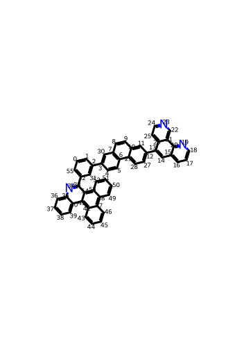 c1cc(-c2ccc3c(ccc4cc(-c5cc6cccnc6c6cnccc56)ccc43)c2)cc(-c2nc3ccccc3c3c4ccccc4c4ccccc4c23)c1